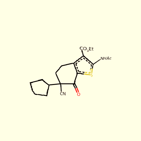 CCOC(=O)c1c(NC(C)=O)sc2c1CCC(C#N)(C1CCCC1)C2=O